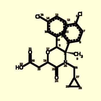 C[C@@]1(c2ccc(Cl)cc2)C(c2cccc(Cl)c2)OC(CC(=O)O)C(=O)N1CC1CC1